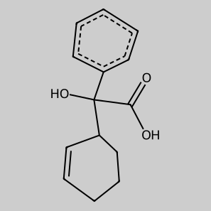 O=C(O)C(O)(c1ccccc1)C1C=CCCC1